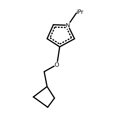 CC(C)n1ccc(OCC2CCC2)c1